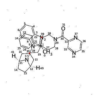 Cc1nc2ccccc2n1C1C[C@H]2CC[C@@H](C1)N2CCC1(c2ccccc2)CCN(C(=O)c2cnccn2)CC1